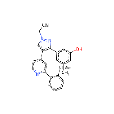 CC(=O)Nc1ccccc1-c1cc(-c2cn(CC#N)nc2-c2cc(C)cc(O)c2)ccn1